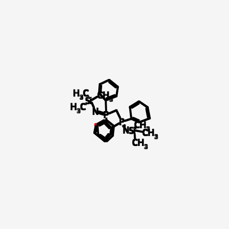 C[Si](C)(C)N=P(CP(=N[Si](C)(C)C)(c1ccccc1)c1ccccc1)(c1ccccc1)c1ccccc1